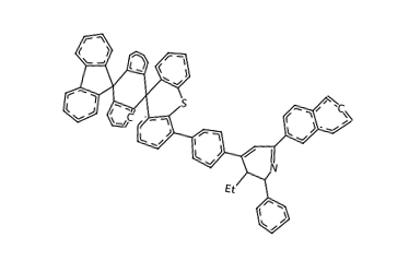 CCC1C(c2ccc(-c3cccc4c3Sc3ccccc3C43c4ccccc4C4(c5ccccc5-c5ccccc54)c4ccccc43)cc2)=CC(c2ccc3ccccc3c2)=NC1c1ccccc1